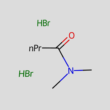 Br.Br.CCCC(=O)N(C)C